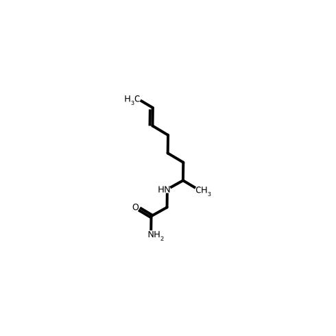 C/C=C/CCCC(C)NCC(N)=O